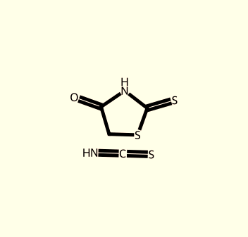 N=C=S.O=C1CSC(=S)N1